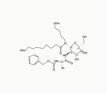 CCCCCCCCCCCCCCCCCC(=O)N(CCCCCCCCCCCCCC)[C@@H]1O[C@H](CO)[C@@H](O)[C@H](O)[C@H]1NC(=O)[C@@H](NC(=O)OCc1ccccc1)C(C)C